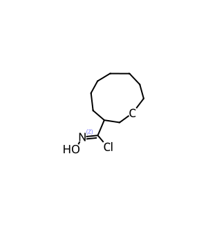 O/N=C(\Cl)C1CCCCCCCCC1